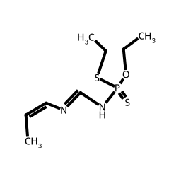 C/C=C\N=C\NP(=S)(OCC)SCC